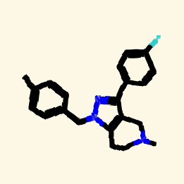 Cc1ccc(Cn2nc(-c3ccc(F)cc3)c3c2CCN(C)C3)cc1